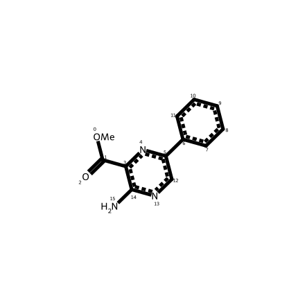 COC(=O)c1nc(-c2ccccc2)cnc1N